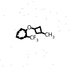 CC1CC(Oc2ccccc2C(F)(F)F)C1